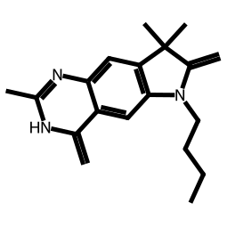 C=C1NC(C)=Nc2cc3c(cc21)N(CCCC)C(=C)C3(C)C